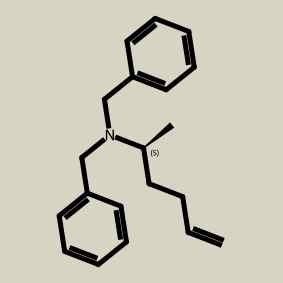 C=CCC[C@H](C)N(Cc1ccccc1)Cc1ccccc1